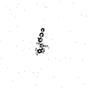 COc1cc2ncnc(-n3nc(Nc4cnc(N5CCC(N6CCCC6)CC5)c(C)c4)nc3N)c2cc1OC